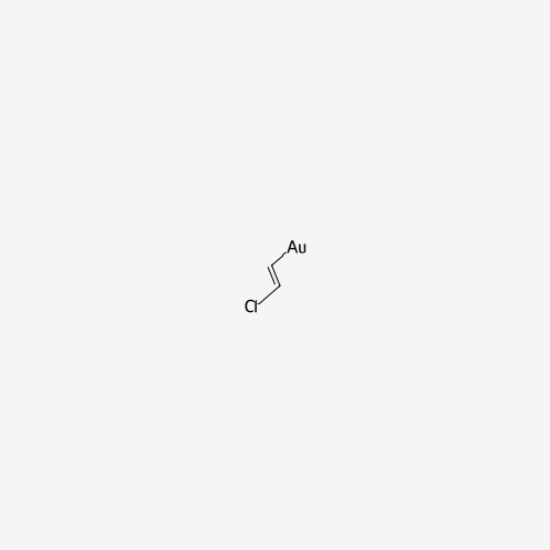 ClC=[CH][Au]